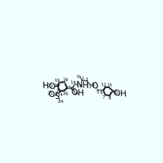 CC(CCOCc1ccc(O)cc1)NCC(O)c1ccc(O)c([S+](C)[O-])c1